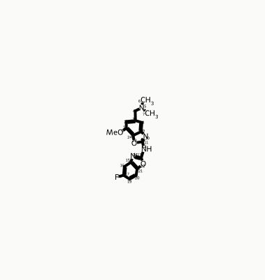 COc1cc(CN(C)C)cc2nc(Nc3nc4cc(F)ccc4o3)oc12